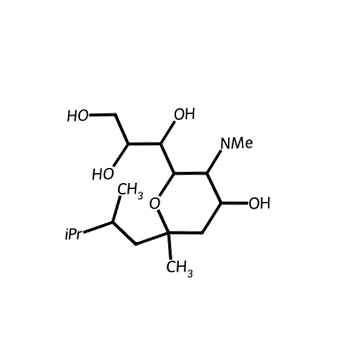 CNC1C(O)CC(C)(CC(C)C(C)C)OC1C(O)C(O)CO